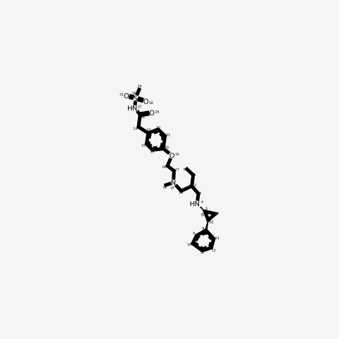 CCC(CN[C@@H]1C[C@H]1c1ccccc1)CN(C)CCOc1ccc(CC(=O)NS(C)(=O)=O)cc1